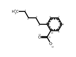 CCCCCc1ccccc1C([O])=O